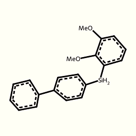 COc1cccc([SiH2]c2ccc(-c3ccccc3)cc2)c1OC